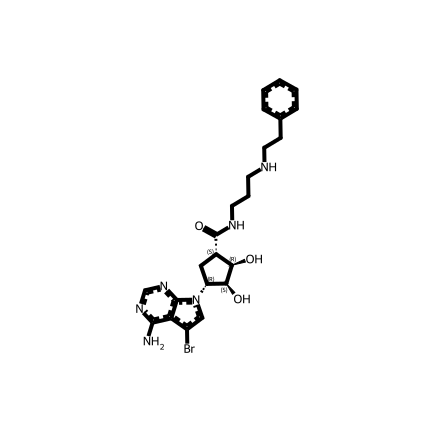 Nc1ncnc2c1c(Br)cn2[C@@H]1C[C@H](C(=O)NCCCNCCc2ccccc2)[C@@H](O)[C@H]1O